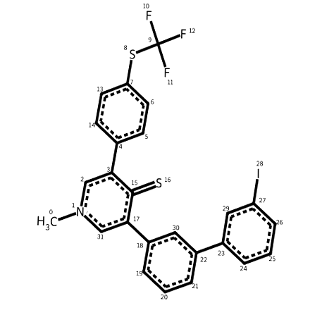 Cn1cc(-c2ccc(SC(F)(F)F)cc2)c(=S)c(-c2cccc(-c3cccc(I)c3)c2)c1